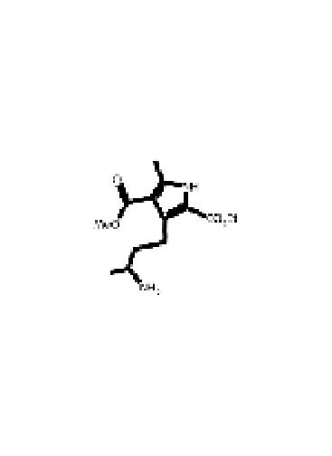 CCOC(=O)c1[nH]c(C)c(C(=O)OC)c1CCC(C)N